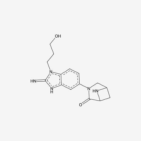 N=c1[nH]c2cc(N3CC4CC(N4)C3=O)ccc2n1CCCO